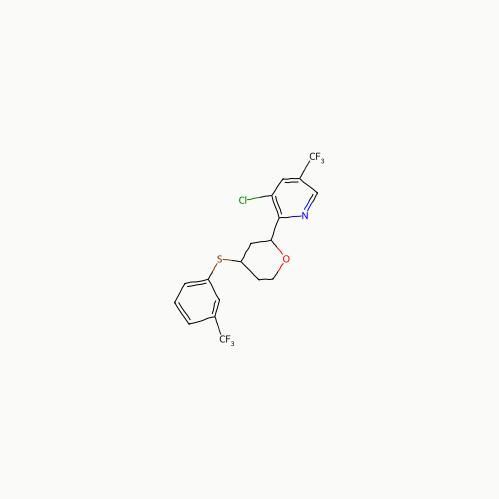 FC(F)(F)c1cccc(SC2CCOC(c3ncc(C(F)(F)F)cc3Cl)C2)c1